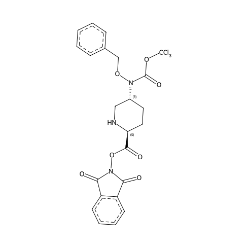 O=C(ON1C(=O)c2ccccc2C1=O)[C@@H]1CC[C@@H](N(OCc2ccccc2)C(=O)OC(Cl)(Cl)Cl)CN1